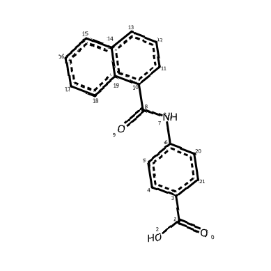 O=C(O)c1ccc(NC(=O)c2cccc3ccccc23)cc1